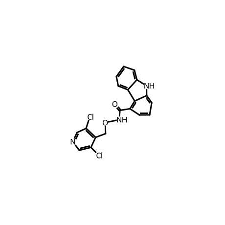 O=C(NOCc1c(Cl)cncc1Cl)c1cccc2[nH]c3ccccc3c12